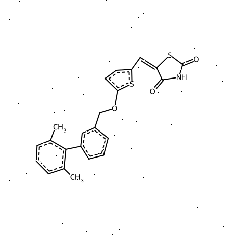 Cc1cccc(C)c1-c1cccc(COc2ccc(C=C3SC(=O)NC3=O)s2)c1